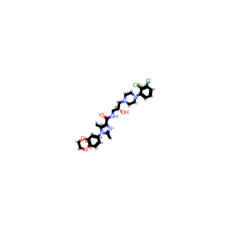 Cc1nc(C(=O)NC[C@@H](O)CN2CCN(c3cccc(Cl)c3Cl)CC2)c(C)n1-c1ccc2c(c1)OCCO2